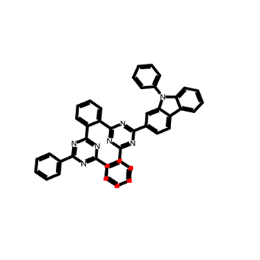 c1ccc(-c2nc(-c3ccccc3)nc(-c3ccccc3-c3nc(-c4ccccc4)nc(-c4ccc5c6ccccc6n(-c6ccccc6)c5c4)n3)n2)cc1